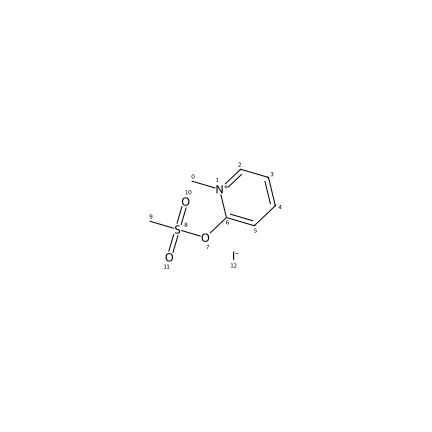 C[n+]1ccccc1OS(C)(=O)=O.[I-]